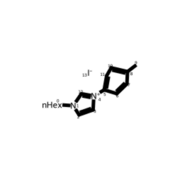 CCCCCCn1cc[n+](-c2ccc(C)cc2)c1.[I-]